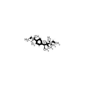 C=C[Si](C)(C)c1ccc([C@H](C)C(C)(CC)[Si](C)(C)C=C)cc1